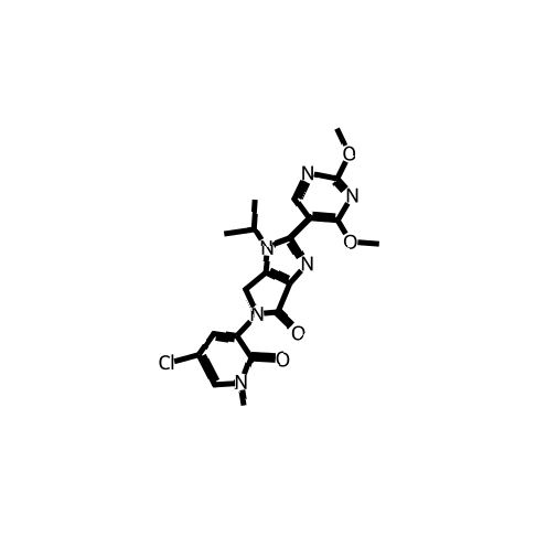 COc1ncc(-c2nc3c(n2C(C)C)CN(c2cc(Cl)cn(C)c2=O)C3=O)c(OC)n1